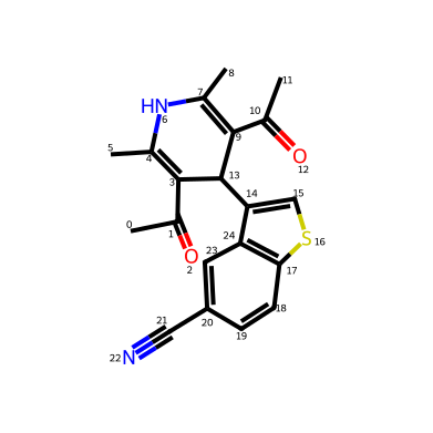 CC(=O)C1=C(C)NC(C)=C(C(C)=O)C1c1csc2ccc(C#N)cc12